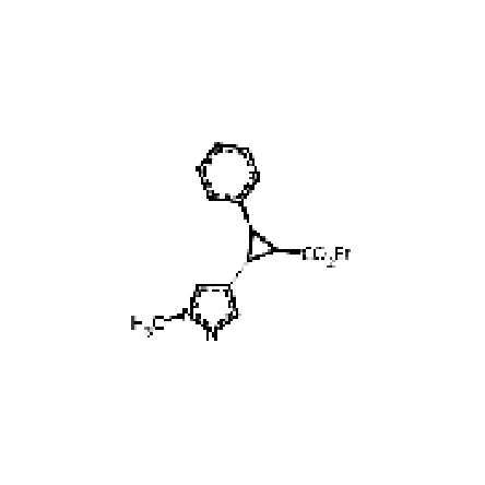 CCOC(=O)[C@@H]1[C@H](c2ccccc2)[C@H]1c1cnn(C)c1